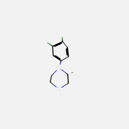 C[C@H]1CNCCN1c1ccc(Cl)c(F)c1